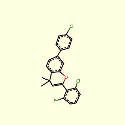 CC1(C)C=C(c2c(F)cccc2Cl)Oc2cc(-c3ccc(Cl)cc3)ccc21